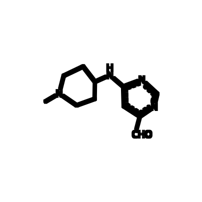 CN1CCC(Nc2cc(C=O)ncn2)CC1